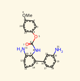 COc1ccc(OC(=O)Nc2c(N)cccc2-c2cccc(N)c2)cc1